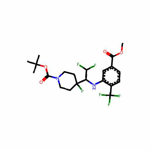 COC(=O)c1ccc(C(F)(F)F)c(NC(C(F)F)C2(F)CCN(C(=O)OC(C)(C)C)CC2)c1